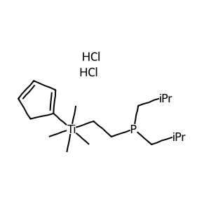 CC(C)CP(C[CH2][Ti]([CH3])([CH3])([CH3])([CH3])[C]1=CC=CC1)CC(C)C.Cl.Cl